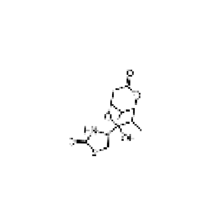 CC1C2CC(=O)OC1C(C)C(O)(C1CSC(=O)N1)O2